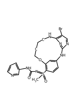 CS(=O)(=NC(=O)Nc1cccnc1)c1ccc2cc1OCCCCNc1nc(ncc1Br)N2